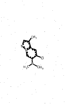 Cc1cnn2cc(N(C)C)c(Cl)cc12